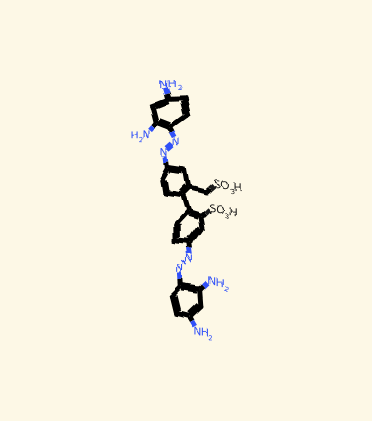 Nc1ccc(N=Nc2ccc(-c3ccc(N=Nc4ccc(N)cc4N)cc3S(=O)(=O)O)c(CS(=O)(=O)O)c2)c(N)c1